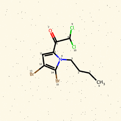 CCCCn1c(C(=O)C(Cl)Cl)cc(Br)c1Br